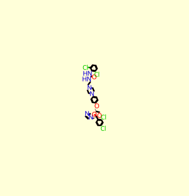 O=C(NCCN1CCN(c2ccc(OC[C@@H]3CO[C@@](Cn4ccnc4)(c4ccc(Cl)cc4Cl)O3)cc2)CC1)Nc1c(Cl)cccc1Cl